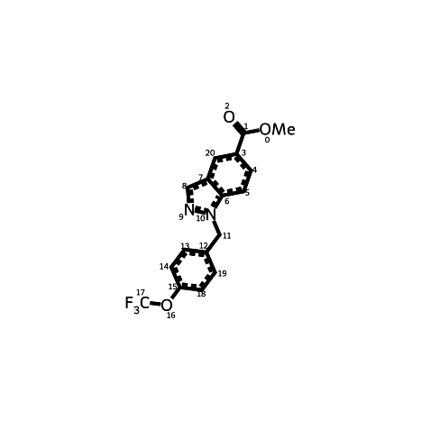 COC(=O)c1ccc2c(cnn2Cc2ccc(OC(F)(F)F)cc2)c1